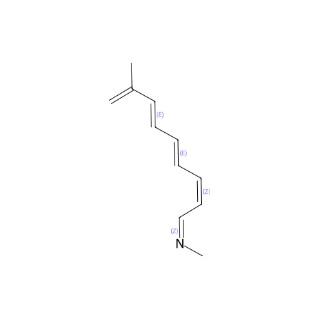 C=C(C)/C=C/C=C/C=C\C=N/C